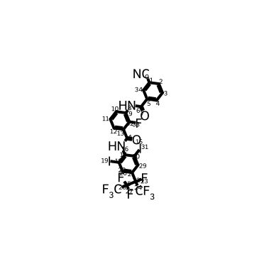 N#Cc1cccc(C(=O)Nc2cccc(C(=O)Nc3c(I)cc(C(F)(C(F)(F)F)C(F)(F)C(F)(F)F)cc3I)c2F)c1